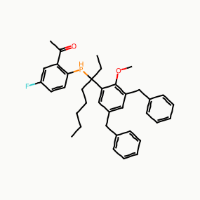 CCCCCC(CC)(Pc1ccc(F)cc1C(C)=O)c1cc(Cc2ccccc2)cc(Cc2ccccc2)c1OC